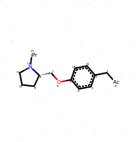 CC(=O)Cc1ccc(OC[C@@H]2CCCN2C(C)C)cc1